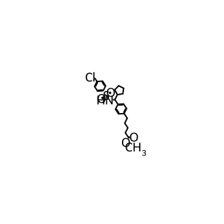 COC(=O)CCCCc1ccc(C(NS(=O)(=O)c2ccc(Cl)cc2)C2CCCC2)cc1